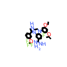 CCOc1cc(OC(C)C)c(F)c(N(Cc2nc(-c3cccc(OC(F)(F)F)c3)c[nH]2)c2ccc(C(=N)N)cc2)c1